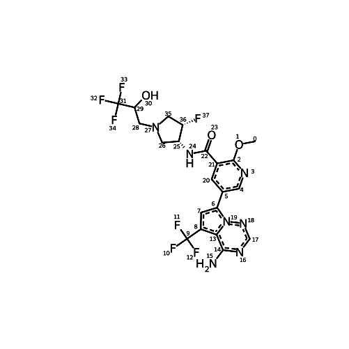 COc1ncc(-c2cc(C(F)(F)F)c3c(N)ncnn23)cc1C(=O)N[C@@H]1CN(CC(O)C(F)(F)F)C[C@@H]1F